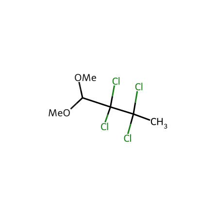 COC(OC)C(Cl)(Cl)C(C)(Cl)Cl